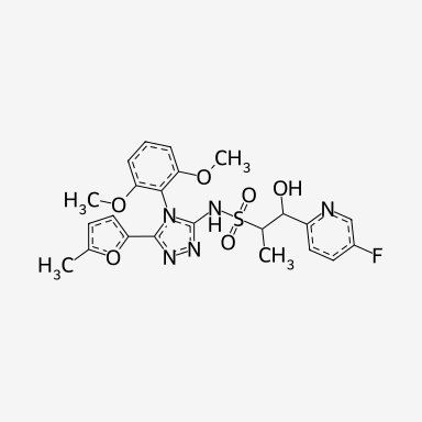 COc1cccc(OC)c1-n1c(NS(=O)(=O)C(C)C(O)c2ccc(F)cn2)nnc1-c1ccc(C)o1